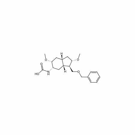 CO[C@H]1C[C@H]2C[C@@H](OC)[C@@H](NC(=O)O)C[C@H]2[C@@H]1COCc1ccccc1